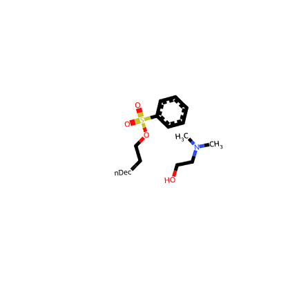 CCCCCCCCCCCCOS(=O)(=O)c1ccccc1.CN(C)CCO